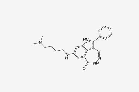 CN(C)CCCCNc1cc2c3c(c(-c4ccccc4)[nH]c3c1)C=NNC2=O